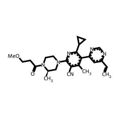 C=Cc1cc(-c2c(C3CC3)nc(N3CCN(C(=O)CCOC)[C@H](C)C3)c(C#N)c2C)ncn1